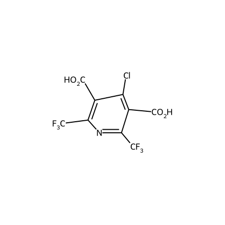 O=C(O)c1c(C(F)(F)F)nc(C(F)(F)F)c(C(=O)O)c1Cl